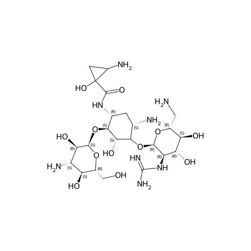 N=C(N)N[C@H]1[C@@H](OC2[C@@H](N)C[C@@H](NC(=O)C3(O)CC3N)[C@H](O[C@H]3O[C@H](CO)[C@@H](O)[C@H](N)[C@H]3O)[C@H]2O)O[C@H](CN)[C@@H](O)[C@@H]1O